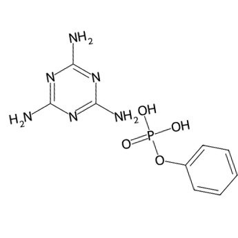 Nc1nc(N)nc(N)n1.O=P(O)(O)Oc1ccccc1